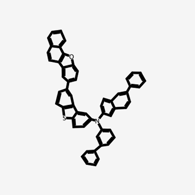 c1ccc(-c2cccc(N(c3ccc4cc(-c5ccccc5)ccc4c3)c3ccc4sc5ccc(-c6ccc7oc8c9ccccc9ccc8c7c6)cc5c4c3)c2)cc1